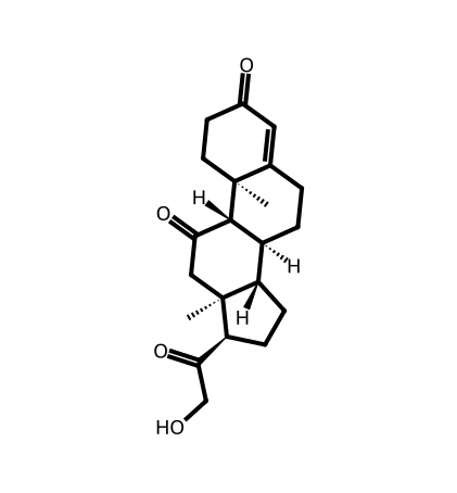 C[C@]12CC(=O)[C@H]3[C@@H](CCC4=CC(=O)CC[C@@]43C)[C@@H]1CC[C@H]2C(=O)CO